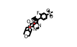 CC1(OC(=O)N2CC3COCC(C2)C3Oc2ncnc3c(-c4ccc(S(C)(=O)=O)cc4F)csc23)CC1